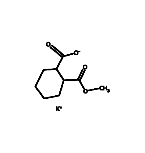 COC(=O)C1CCCCC1C(=O)[O-].[K+]